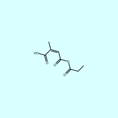 CCC(=O)OC(=O)C=C(C)C(=O)O